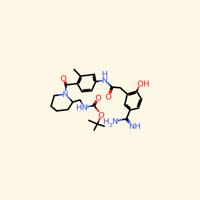 Cc1cc(NC(=O)Cc2cc(C(=N)N)ccc2O)ccc1C(=O)N1CCCCC1CNC(=O)OC(C)(C)C